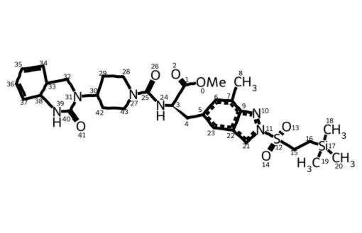 COC(=O)[C@@H](Cc1cc(C)c2nn(S(=O)(=O)CC[Si](C)(C)C)cc2c1)NC(=O)N1CCC(N2CC3C=CC=CC3NC2=O)CC1